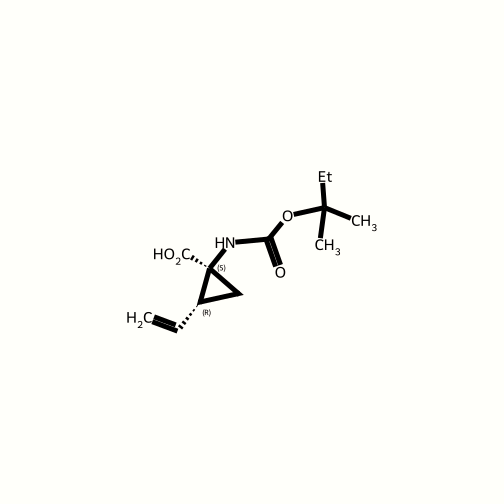 C=C[C@H]1C[C@@]1(NC(=O)OC(C)(C)CC)C(=O)O